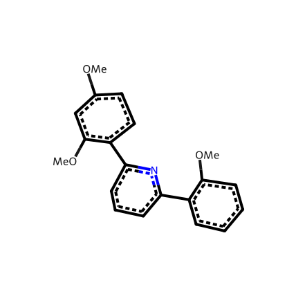 COc1ccc(-c2cccc(-c3ccccc3OC)n2)c(OC)c1